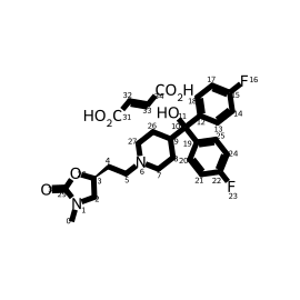 CN1C[C@H](CCN2CCC(C(O)(c3ccc(F)cc3)c3ccc(F)cc3)CC2)OC1=O.O=C(O)/C=C/C(=O)O